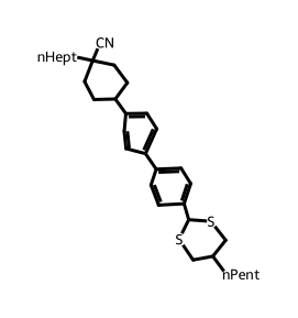 CCCCCCCC1(C#N)CCC(c2ccc(-c3ccc(C4SCC(CCCCC)CS4)cc3)cc2)CC1